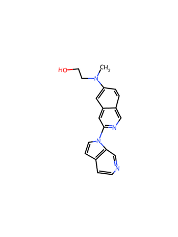 CN(CCO)c1ccc2cnc(-n3ccc4ccncc43)cc2c1